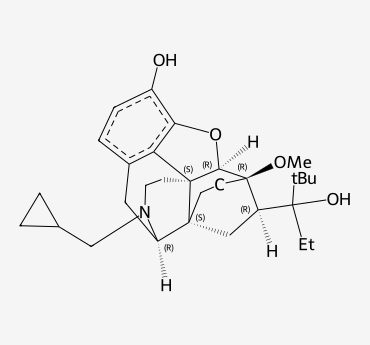 CCC(O)([C@H]1C[C@@]23CC[C@]1(OC)[C@@H]1Oc4c(O)ccc5c4[C@@]12CCN(CC1CC1)[C@@H]3C5)C(C)(C)C